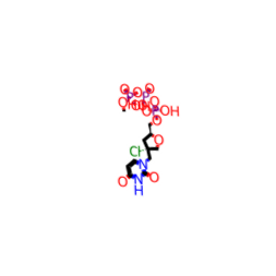 COP(=O)(O)OP(=O)(O)OP(=O)(O)OC[C@@H]1C[C@](Cl)(Cn2ccc(=O)[nH]c2=O)CO1